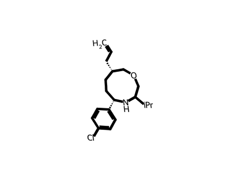 C=CC[C@H]1CC[C@@H](c2ccc(Cl)cc2)NC(C(C)C)COC1